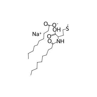 CCCCCCCCCC(=O)NC(CCSC)C(=O)O.CCCCCCCCCC(=O)[O-].[Na+]